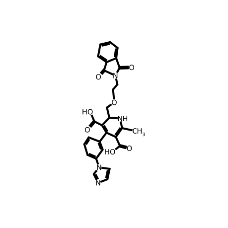 CC1=C(C(=O)O)C(c2cccc(-n3ccnc3)c2)=C(C(=O)O)C(COCCN2C(=O)c3ccccc3C2=O)N1